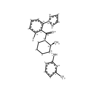 C[C@H]1[C@H](Nc2nccc(C(F)(F)F)n2)CCCN1C(=O)c1c(F)cccc1-n1nccn1